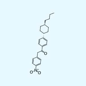 CCCC[C@H]1CC[C@H](c2ccc(C(=O)Cc3ccc([N+](=O)[O-])cc3)cc2)CC1